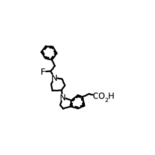 O=C(O)Cc1ccc2c(c1)N(C1CCN(C(F)Cc3ccccc3)CC1)CC2